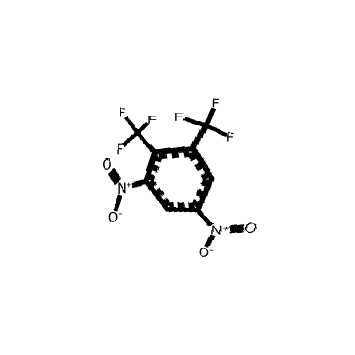 O=[N+]([O-])c1cc([N+](=O)[O-])c(C(F)(F)F)c(C(F)(F)F)c1